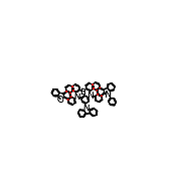 c1ccc(-c2ccccc2N2c3cc(-n4c5ccccc5c5ccccc54)cc4c3B(c3cccc(-c5ccc6oc7ccccc7c6c5)c32)c2cccc(-c3ccc5c(c3)c3ccccc3n5-c3ccccc3)c2N4c2ccccc2-c2ccccc2)cc1